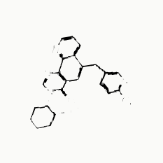 O=c1c2cc(Cc3ccc(Cl)nc3)c3cccnc3c2ncn1[C@H]1CCCC[C@@H]1O